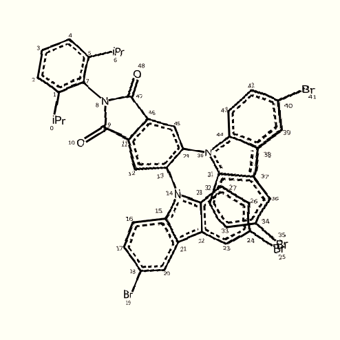 CC(C)c1cccc(C(C)C)c1N1C(=O)c2cc(-n3c4ccc(Br)cc4c4cc(Br)ccc43)c(-n3c4ccc(Br)cc4c4cc(Br)ccc43)cc2C1=O